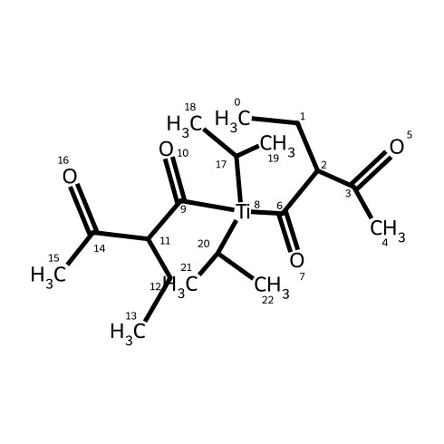 CCC(C(C)=O)[C](=O)[Ti]([C](=O)C(CC)C(C)=O)([CH](C)C)[CH](C)C